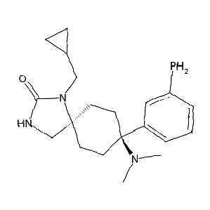 CN(C)[C@]1(c2cccc(P)c2)CC[C@]2(CC1)CNC(=O)N2CC1CC1